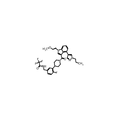 CCCn1cc(-c2cccc3c2c(C(=O)N2CCC(c4cc(CNC(=O)C(F)(F)F)ccc4F)CC2)cn3CCOC)cn1